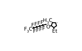 [CH2]CC1C[CH]C(C)C1OCC(F)(F)C(F)(F)C(F)(F)C(F)(F)C(F)(F)F